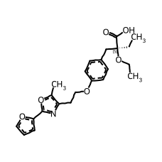 CCO[C@@](CC)(Cc1ccc(OCCc2nc(-c3ccco3)oc2C)cc1)C(=O)O